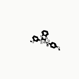 COc1ccc(S(=O)(=O)Nc2nc3ccccc3nc2Nc2cccc(OC)c2)cc1